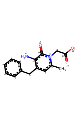 Cc1cc(Cc2ccccc2)c(N)c(=O)n1CC(=O)O